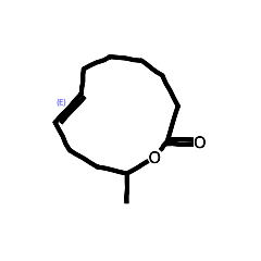 CC1CC/C=C/CCCCCC(=O)O1